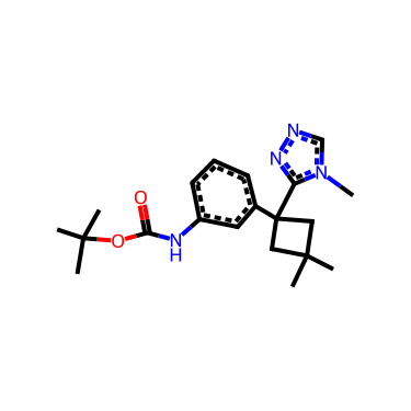 Cn1cnnc1C1(c2cccc(NC(=O)OC(C)(C)C)c2)CC(C)(C)C1